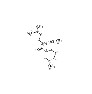 CN(C)CCNC(=O)C1CCCC(N)C1.Cl.Cl